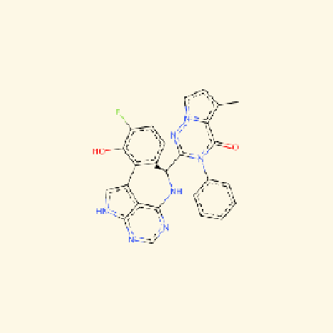 Cc1ccn2nc([C@H](C)Nc3ncnc4[nH]cc(-c5cccc(F)c5O)c34)n(-c3ccccc3)c(=O)c12